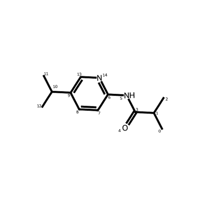 CC(C)C(=O)Nc1ccc(C(C)C)cn1